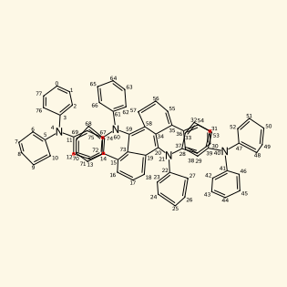 c1ccc(N(c2ccccc2)c2ccc(-c3cccc4c(N(c5ccccc5)c5ccccc5)c5c(-c6ccc(N(c7ccccc7)c7ccccc7)cc6)cccc5c(N(c5ccccc5)c5ccccc5)c34)cc2)cc1